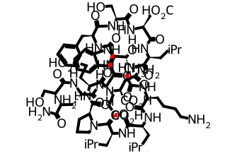 CC(C)C[C@H](NC(=O)[C@H](CC(=O)O)NC(=O)[C@H](CO)NC(=O)[C@H](Cc1ccccc1)NC(=O)[C@@H](NC(=O)[C@H](CCC(=O)O)NC(=O)[C@H](CCC(N)=O)NC(=O)[C@@H](N)CO)[C@@H](C)O)C(=O)N[C@@H](Cc1c[nH]c2ccccc12)C(=O)N[C@@H](CCCCN)C(=O)N[C@@H](CC(C)C)C(=O)N[C@@H](CC(C)C)C(=O)N1CCC[C@H]1C(=O)N[C@@H](CCC(=O)O)C(=O)N[C@@H](CC(N)=O)C(=O)O